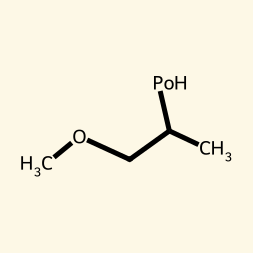 COC[CH](C)[PoH]